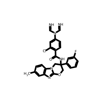 Cc1ccc2c(c1)nc1n2CC(NC(=O)c2ccc(N(C=N)C=N)cc2Cl)(c2cccc(F)c2)CO1